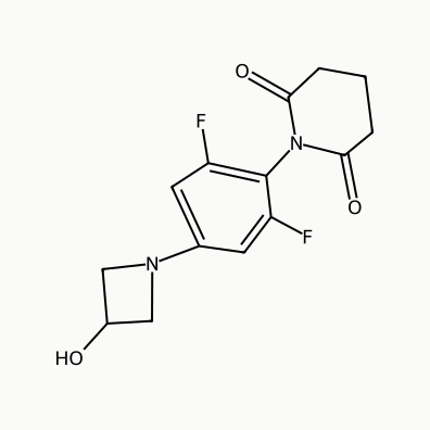 O=C1CCCC(=O)N1c1c(F)cc(N2CC(O)C2)cc1F